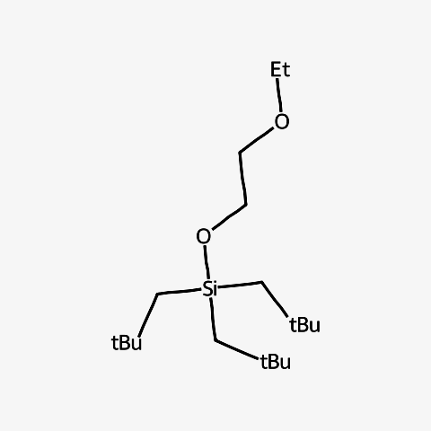 CCOCCO[Si](CC(C)(C)C)(CC(C)(C)C)CC(C)(C)C